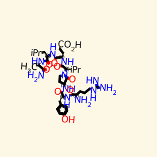 CC(C)C[C@@H](NC(=O)[C@@H](CCC(=O)O)NC(=O)[C@@H](C(C)C)N1CC[C@H](NC(=O)[C@@H](Cc2ccc(O)cc2)NC(=O)[C@H](N)CCCNC(=N)N)C1=O)C(=O)N[C@H](C)C(N)=O